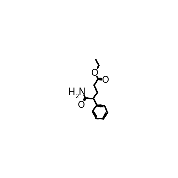 CCOC(=O)CCC(C(N)=O)c1ccccc1